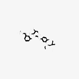 CCN1CC(O)(CO)COc2ccc(Nc3ncc(Cl)c(Nc4c(F)cccc4C(=O)NC)n3)cc21